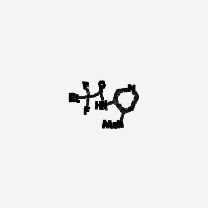 CCC(F)(F)C(=O)Nc1cnccc1NC